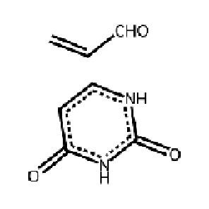 C=CC=O.O=c1cc[nH]c(=O)[nH]1